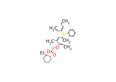 C=C/C=C(\C=C)[S+](C(=C)/C=C(C)\C(=C\C)OCC(=O)OC1(CC)CCCCC1)c1ccccc1